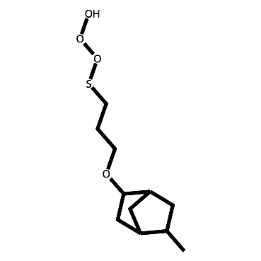 CC1CC2CC1CC2OCCCSOOO